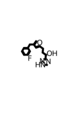 OC(CCc1cc(Cc2cccc(F)c2)co1)c1nc[nH]n1